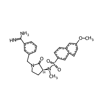 COc1ccc2cc(S(=O)(=O)N(C)[C@H]3CCN(Cc4cccc(C(=N)N)c4)C3=O)ccc2c1